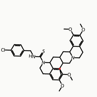 CCC1CN2CCc3cc(OC)c(OC)cc3C2CC1CC1c2cc(OC)c(OC)cc2CCN1C(=S)NCc1ccc(Cl)cc1